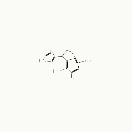 CC(C)(C)c1cc(C(C)(C)C)c2c(c1O)C(c1c[nH]cn1)CC2